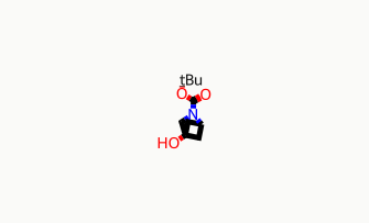 CC(C)(C)OC(=O)N1CC2(O)CC1C2